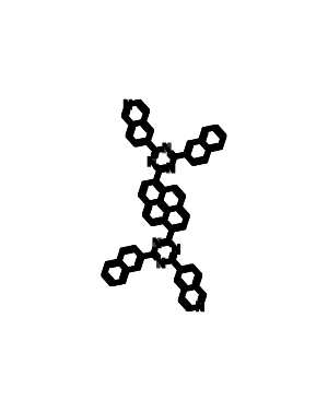 c1ccc2cc(-c3nc(-c4ccc5cnccc5c4)nc(-c4ccc5ccc6c(-c7nc(-c8ccc9ccccc9c8)nc(-c8ccc9cnccc9c8)n7)ccc7ccc4c5c76)n3)ccc2c1